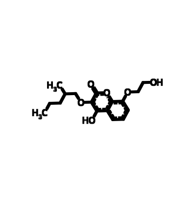 CCCC(C)COc1c(O)c2cccc(OCCO)c2oc1=O